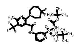 Cc1nc(N2CCCC(F)(F)CC2)c(C(=O)Nc2ccnc(S(=O)(=N[Si](C)(C)C(C)(C)C)NC(=O)OC(C)(C)C)c2)cc1C(F)(F)F